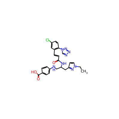 CCn1ccc(CC(CNc2ccc(C(=O)O)cc2)NC(=O)/C=C/c2cc(Cl)ccc2-n2cnnn2)n1